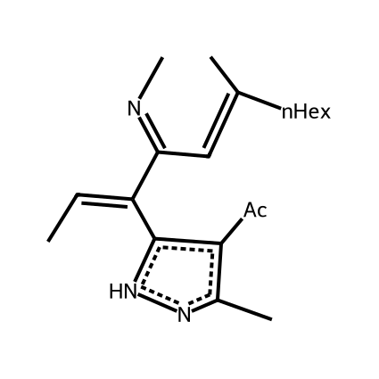 C/C=C(C(/C=C(\C)CCCCCC)=N/C)\c1[nH]nc(C)c1C(C)=O